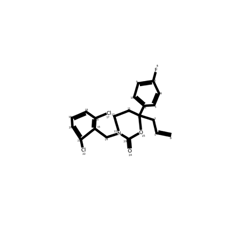 C=CCC1(c2ccc(F)cc2)CCN(Cc2c(Cl)cccc2Cl)C(=O)O1